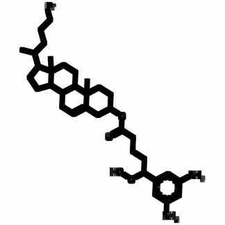 CC(C)CCCC(C)C1CCC2C3CC=C4CC(OC(=O)CCCC(OO)c5cc(N)cc(N)c5)CCC4(C)C3CCC12C